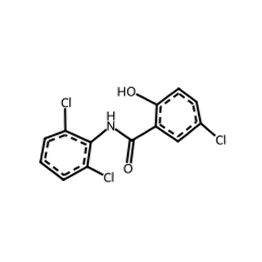 O=C(Nc1c(Cl)cccc1Cl)c1cc(Cl)ccc1O